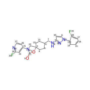 O=C1OC2(CCC(CNc3ccn(-c4ccccc4F)n3)CC2)CN1c1ccnc(F)c1